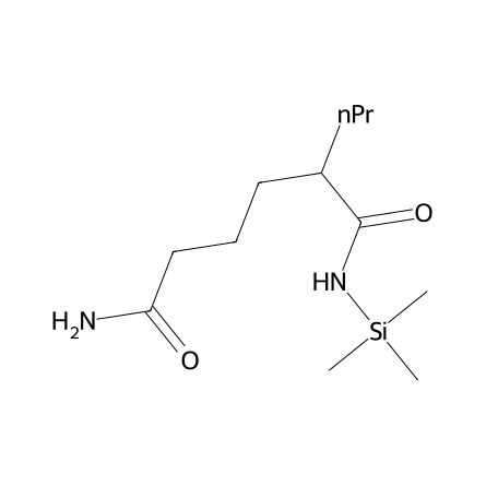 CCCC(CCCC(N)=O)C(=O)N[Si](C)(C)C